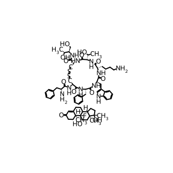 CC(O)[C@@H]1NC(=O)[C@H](CCCCN)NC(=O)[C@@H](Cc2c[nH]c3ccccc23)NC(=O)[C@H](Cc2ccccc2)NC(=O)[C@@H](NC(=O)[C@H](N)Cc2ccccc2)CSSC[C@@H](C(=O)N[C@H](CO)[C@@H](C)O)NC1=O.C[C@]1(O)CC[C@H]2[C@@H]3CCC4=CC(=O)CC[C@]4(C)[C@@]3(F)[C@@H](O)C[C@@]21C